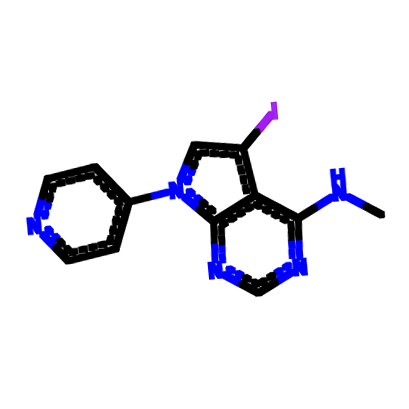 CNc1ncnc2c1c(I)cn2-c1ccncc1